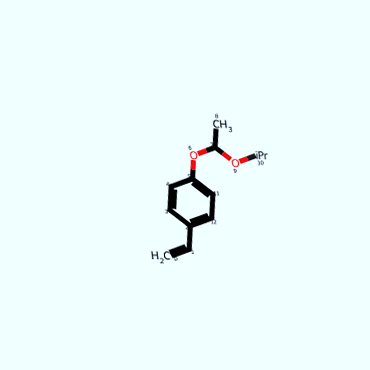 C=Cc1ccc(OC(C)OC(C)C)cc1